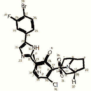 C[C@H](N)C(=O)O[C@@H]1CC2CC[C@H](C1)N2S(=O)(=O)c1cc(-c2ncc(-c3ccc(Br)c(F)c3)[nH]2)ccc1Cl